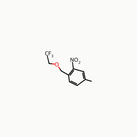 Cc1ccc(COCC(F)(F)F)c([N+](=O)[O-])c1